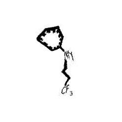 FC(F)(F)CCNc1ccccc1